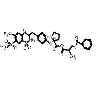 CC(CSC(=O)c1ccccc1)C(=O)OC(=O)[C@]1(Oc2ccc(CC3Nc4cc(C(F)(F)F)c(S(N)(=O)=O)cc4S(=O)(=O)N3)cc2)CCCN1